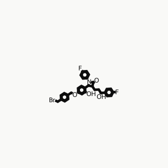 O=C1C(CCC(O)c2ccc(F)cc2)C(c2ccc(OCc3ccc(CBr)cc3)cc2O)N1c1ccc(F)cc1